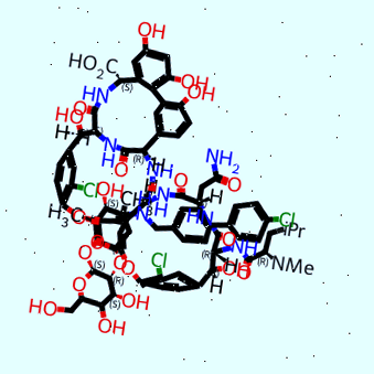 CN[C@H](CC(C)C)C(=O)N[C@H]1C(=O)N[C@@H](CC(N)=O)C(=O)N[C@H]2CN[C@H]3C(=O)N[C@H](C(=O)N[C@H](C(=O)O)c4cc(O)cc(O)c4-c4cc3ccc4O)[C@H](O)c3ccc(c(Cl)c3)Oc3cc2cc(c3O[C@@H]2OC(CO)C(O)[C@H](O)[C@H]2O[C@H]2CC(C)(NCc3ccc(-c4ccc(Cl)cc4)cc3)[C@H](O)[C@H](C)O2)Oc2ccc(cc2Cl)[C@H]1O